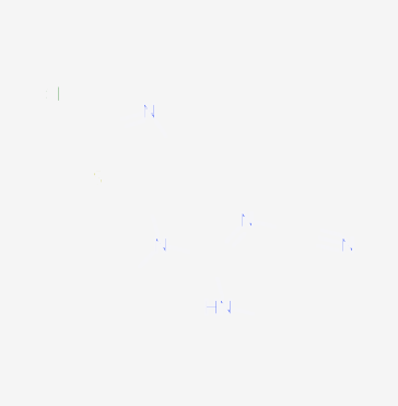 CNC(=NC#N)N(C)c1cnc(Cl)s1